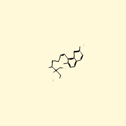 CCC(C)(CC)C(C)CC/C=C\c1c(C)ccc2ccc(O)cc12